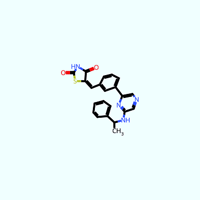 CC(Nc1cncc(-c2cccc(C=C3SC(=O)NC3=O)c2)n1)c1ccccc1